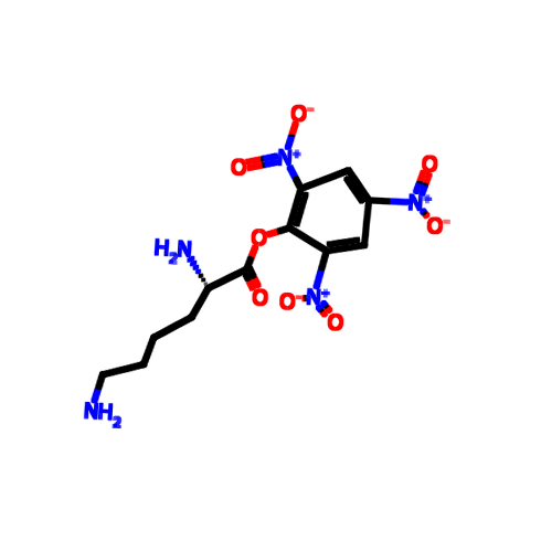 NCCCC[C@H](N)C(=O)Oc1c([N+](=O)[O-])cc([N+](=O)[O-])cc1[N+](=O)[O-]